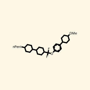 CCCCCC1CCC(C2CCC(C(F)(F)Oc3ccc(C4CCC(OC)CC4)cc3)CC2)CC1